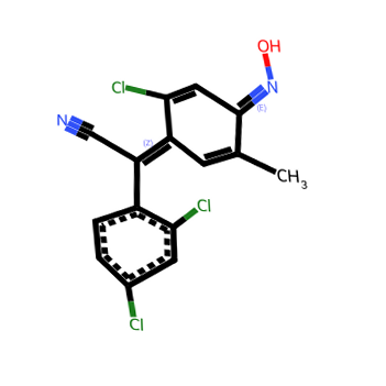 CC1=CC(=C(/C#N)c2ccc(Cl)cc2Cl)/C(Cl)=CC/1=N\O